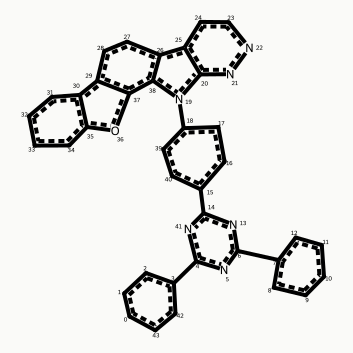 c1ccc(-c2nc(-c3ccccc3)nc(-c3ccc(-n4c5nnccc5c5ccc6c7ccccc7oc6c54)cc3)n2)cc1